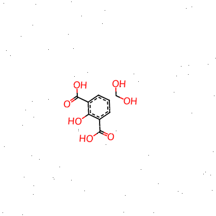 O=C(O)c1cccc(C(=O)O)c1O.OCO